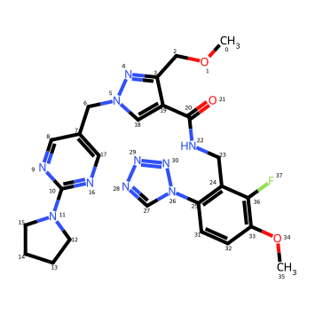 COCc1nn(Cc2cnc(N3CCCC3)nc2)cc1C(=O)NCc1c(-n2cnnn2)ccc(OC)c1F